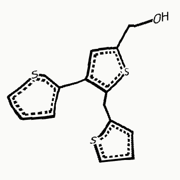 OCc1cc(-c2cccs2)c(-c2cccs2)s1